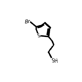 SCCc1ccc(Br)s1